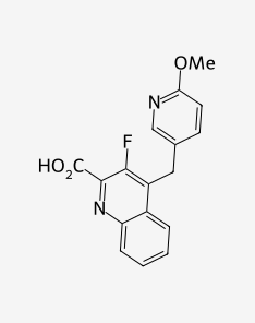 COc1ccc(Cc2c(F)c(C(=O)O)nc3ccccc23)cn1